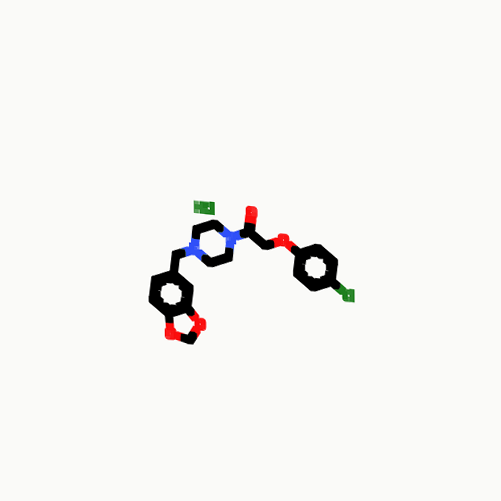 Cl.O=C(COc1ccc(Cl)cc1)N1CCN(Cc2ccc3c(c2)OCO3)CC1